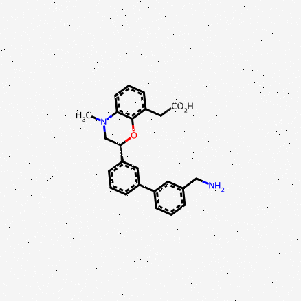 CN1C[C@H](c2cccc(-c3cccc(CN)c3)c2)Oc2c(CC(=O)O)cccc21